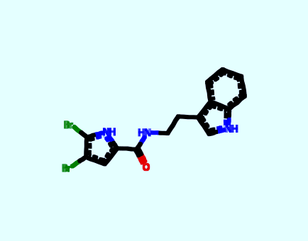 O=C(NCCc1c[nH]c2ccccc12)c1cc(Br)c(Br)[nH]1